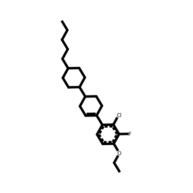 CCCCCC1CCC(C2CC=C(c3ccc(OCC)c(F)c3Cl)CC2)CC1